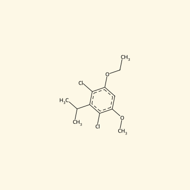 CCOc1cc(OC)c(Cl)c(C(C)C)c1Cl